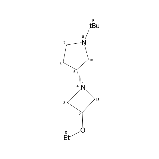 CCOC1CN([C@@H]2CCN(C(C)(C)C)C2)C1